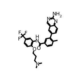 Cc1ccc(C(=O)Nc2cc(C(F)(F)F)ccc2OCCCN(C)C)cc1-c1ccc2nc(N)ncc2c1